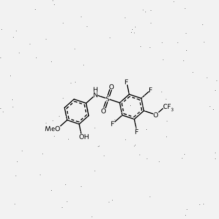 COc1ccc(NS(=O)(=O)c2c(F)c(F)c(OC(F)(F)F)c(F)c2F)cc1O